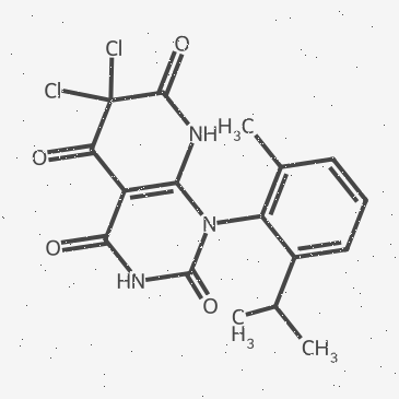 Cc1cccc(C(C)C)c1-n1c2c(c(=O)[nH]c1=O)C(=O)C(Cl)(Cl)C(=O)N2